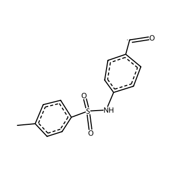 Cc1ccc(S(=O)(=O)Nc2ccc([C]=O)cc2)cc1